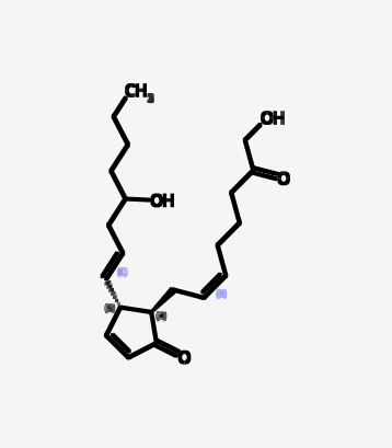 CCCCC(O)C/C=C/[C@H]1C=CC(=O)[C@@H]1C/C=C\CCCC(=O)CO